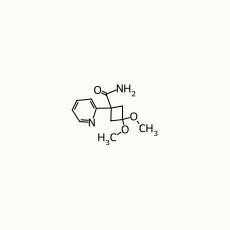 COC1(OC)CC(C(N)=O)(c2ccccn2)C1